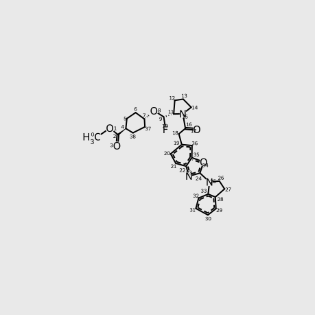 COC(=O)[C@H]1CC[C@H](OC(F)[C@@H]2CCCN2C(=O)Cc2ccc3nc(N4CCc5ccccc54)oc3c2)CC1